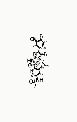 CC(=O)Nc1cnc(S(=O)(=O)Nc2nc(-c3ccc(F)c(Cl)c3)c(F)s2)c(C2CC2)c1